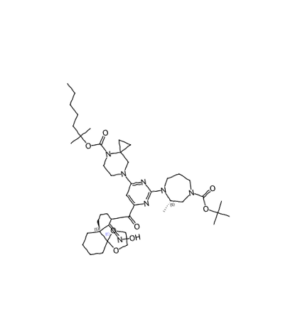 CCCCCC(C)(C)OC(=O)N1CCN(c2cc(C(=O)C3CCC[C@@]4(CCCCC45OCCO5)/C3=N/O)nc(N3CCCN(C(=O)OC(C)(C)C)C[C@@H]3C)n2)CC12CC2